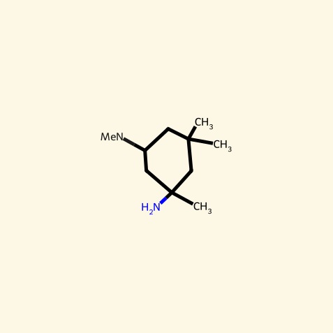 CNC1CC(C)(C)CC(C)(N)C1